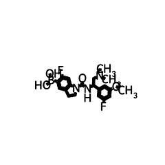 COc1cc(F)cc(C(CN(C)C)NC(=O)N2CCc3cc(B(O)O)c(F)cc32)c1